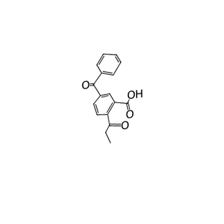 CCC(=O)c1ccc(C(=O)c2ccccc2)cc1C(=O)O